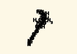 Cc1[nH]c(/C=C2\C(=O)Nc3ccc(F)cc32)c(C)c1C(=O)NCCNC(=O)CCOCCOCCOCCN=[N+]=[N-]